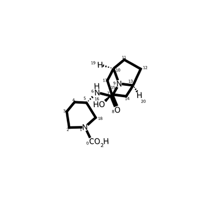 O=C(O)N1CCC[C@H](NC(=O)N2[C@@H]3CC[C@H]2C[C@@H](O)C3)C1